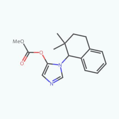 COC(=O)Oc1cncn1C1c2ccccc2CCC1(C)C